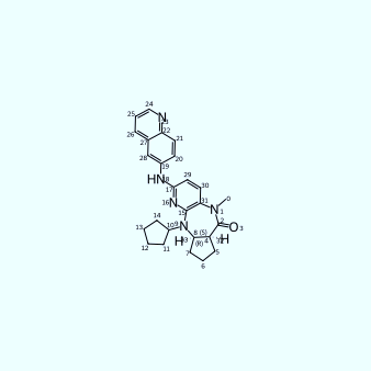 CN1C(=O)[C@H]2CCC[C@H]2N(C2CCCC2)c2nc(Nc3ccc4ncccc4c3)ccc21